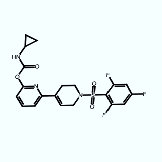 O=C(NC1CC1)Oc1cccc(C2=CCN(S(=O)(=O)c3c(F)cc(F)cc3F)CC2)n1